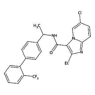 CCc1nc2ccc(Cl)cn2c1C(=O)NC(C)c1ccc(-c2ccccc2C(F)(F)F)cc1